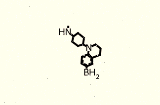 Bc1ccc2c(c1)CCCN2C1CCC(NC)CC1